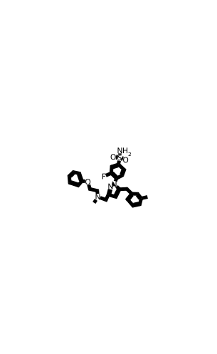 Cc1cccc(Cc2cc(CN(C)CCOc3ccccc3)nn2-c2ccc(S(N)(=O)=O)cc2F)c1